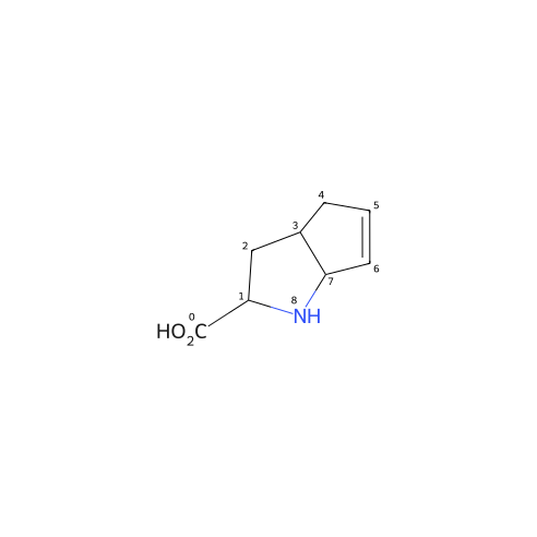 O=C(O)C1CC2CC=CC2N1